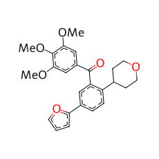 COc1cc(C(=O)c2cc(-c3ccco3)ccc2C2CCOCC2)cc(OC)c1OC